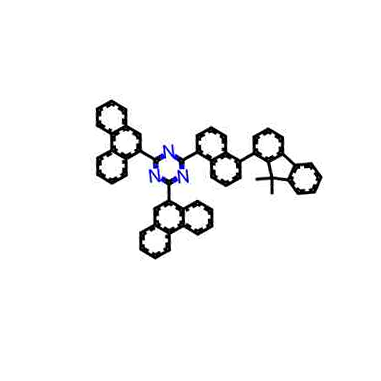 CC1(C)c2ccccc2-c2cccc(-c3cccc4c(-c5nc(-c6cc7ccccc7c7ccccc67)nc(-c6cc7ccccc7c7ccccc67)n5)cccc34)c21